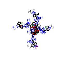 Cc1nccc(-c2n[nH]c3nc(N4CC[C@@H]5[C@H](C4)[C@]5(c4ccccc4F)C(NC(c4ccc(-c5n[nH]c6nc(N7CC[C@@H]8[C@H](C7)[C@@]8(CN)c7ccccc7F)cnc56)c5cccnc45)N(C)C)(C(N)[C@]4(c5ccccc5F)[C@@H]5CCN(c6cnc7c(-c8ccc9nn(C)cc9c8C8CC8)n[nH]c7n6)C[C@@H]54)C(N)[C@]4(c5ccccc5F)[C@@H]5CCN(c6cnc7c(-c8ccc9nonc9c8C)n[nH]c7n6)C[C@@H]54)cnc23)c1F